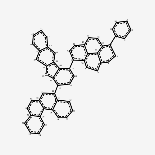 c1ccc(-c2ccc3ccc4c(-c5ccc(-c6cc7ccc8ccccc8c7c7ccccc67)c6oc7cc8ccccc8cc7c56)ccc5ccc2c3c54)cc1